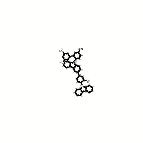 N#Cc1cc(C#N)cc(-c2cc(C#N)ccc2-n2c3ccccc3c3cc(-c4ccc(-n5c6ccccc6c6ccccc65)c(C#N)c4)ccc32)c1